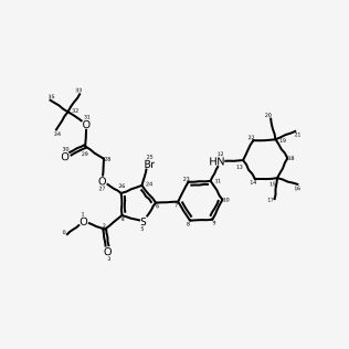 COC(=O)c1sc(-c2cccc(NC3CC(C)(C)CC(C)(C)C3)c2)c(Br)c1OCC(=O)OC(C)(C)C